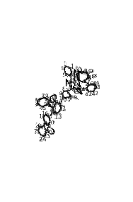 c1ccc(-c2nc(-c3ccc(-c4ccc(-c5ccc6c(c5)oc5ccccc56)c5c4oc4ccccc45)cc3)nc(-c3ccccc3-c3cccnc3)n2)cc1